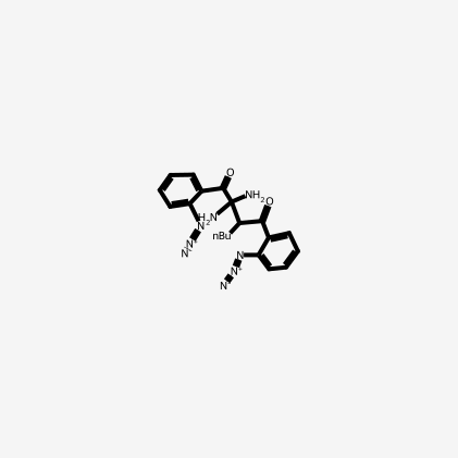 CCCCC(C(=O)c1ccccc1N=[N+]=[N-])C(N)(N)C(=O)c1ccccc1N=[N+]=[N-]